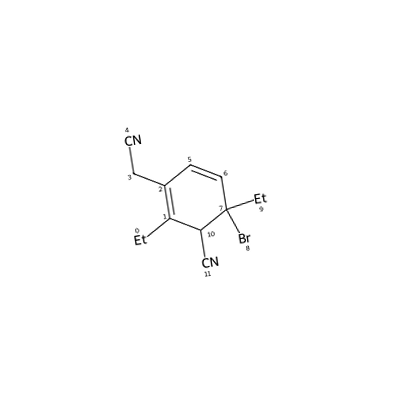 CCC1=C(CC#N)C=CC(Br)(CC)C1C#N